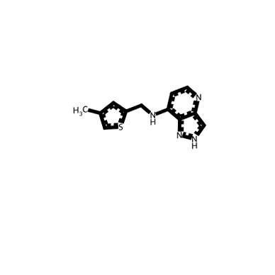 Cc1csc(CNc2ccnc3c[nH]nc23)c1